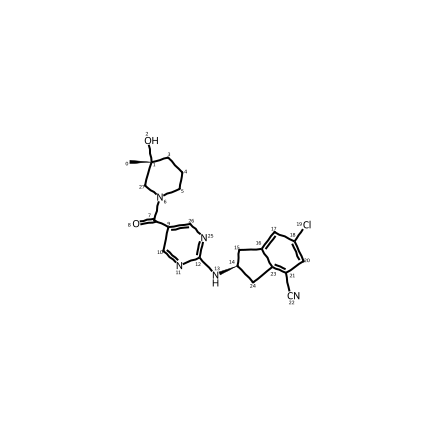 C[C@@]1(O)CCCN(C(=O)c2cnc(N[C@H]3Cc4cc(Cl)cc(C#N)c4C3)nc2)C1